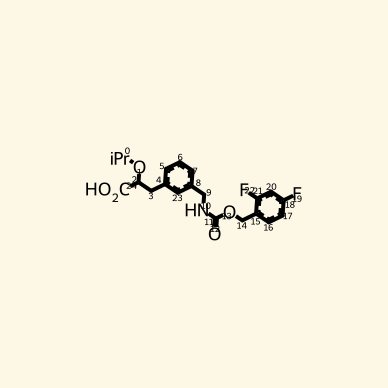 CC(C)OC(Cc1cccc(CNC(=O)OCc2ccc(F)cc2F)c1)C(=O)O